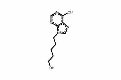 OCCCCCn1cnc2c(O)ncnc21